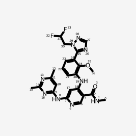 CNC(=O)c1cnc(Nc2cc(C)nc(C)n2)cc1Nc1cccc(-c2ncnn2CC(F)F)c1OC